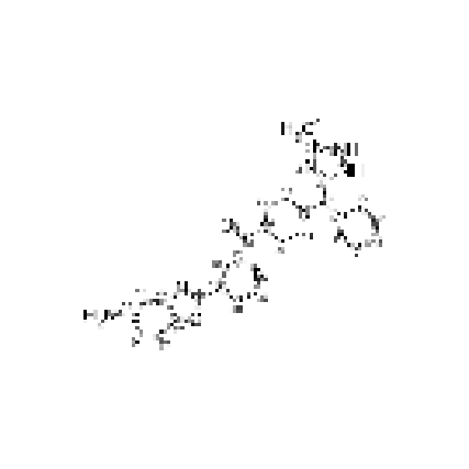 CN1N=C(C(c2ccccc2)N2CCN(C(=O)c3cc(-c4nc5cc(N)ccc5o4)ccn3)CC2)NN1